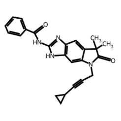 CC1(C)C(=O)N(CC#CC2CC2)c2cc3[nH]c(NC(=O)c4ccccc4)nc3cc21